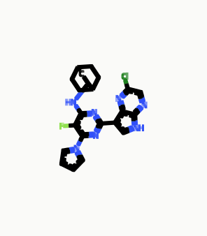 Fc1c(NC2CC3CCC2CC3)nc(-c2c[nH]c3ncc(Cl)nc23)nc1-n1cccc1